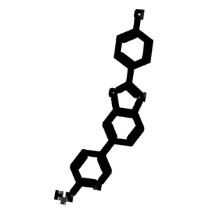 Nc1ccc(-c2ccc3nc(-c4ccc(Cl)cc4)oc3c2)cn1